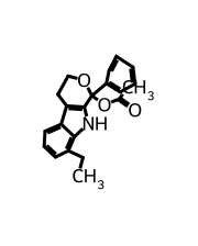 CCc1cccc2c3c([nH]c12)C(OC(C)=O)(c1ccccc1)OCC3